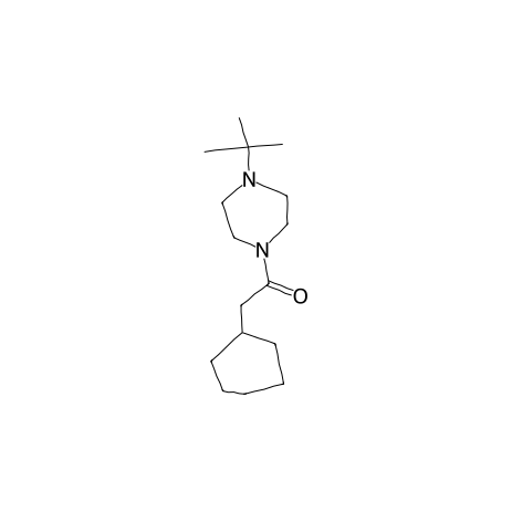 CC(C)(C)N1CCN(C(=O)CC2CCCCC2)CC1